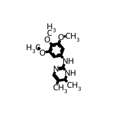 COc1cc(NC2=NC=C(C)[C](C)N2)cc(OC)c1OC